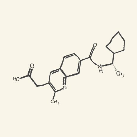 Cc1nc2cc(C(=O)N[C@@H](C)C3CCCCC3)ccc2cc1CC(=O)O